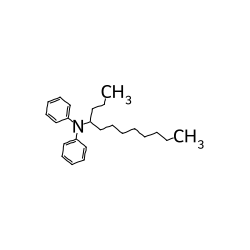 CCCCCCCCC(CCC)N(c1ccccc1)c1ccccc1